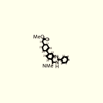 CNC(NC(=N)c1ccccc1)c1ccc(C2=CCC(CC(=O)OC)CC2)cc1